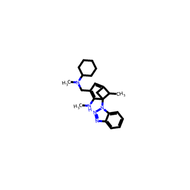 CNC1=C(CN(C)C2CCCCC2)C=C2CC1(n1nnc3ccccc31)C2C